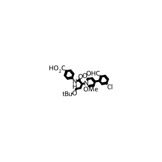 COc1cn(C(CCOC(C)(C)C)C(=O)Nc2ccc(C(=O)O)cc2)c(=O)cc1-c1cc(Cl)ccc1C=O